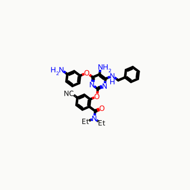 CCN(CC)C(=O)c1ccc(C#N)cc1Oc1nc(NCc2ccccc2)c(N)c(Oc2cccc(N)c2)n1